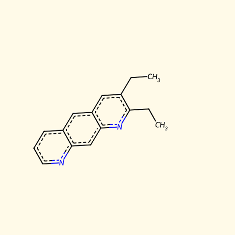 CCc1cc2cc3cccnc3cc2nc1CC